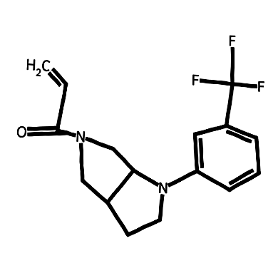 C=CC(=O)N1CC2CCN(c3cccc(C(F)(F)F)c3)C2C1